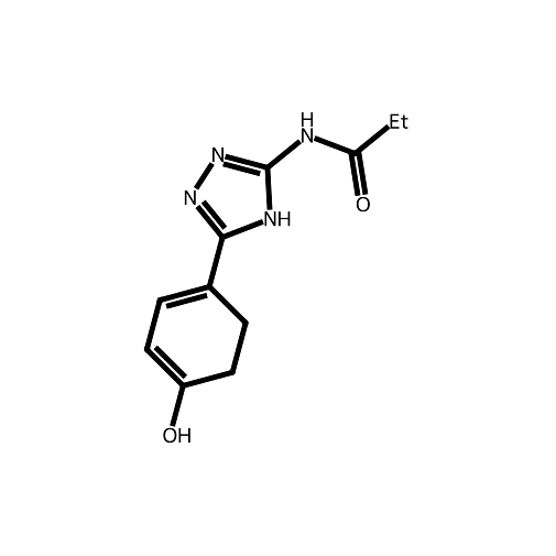 CCC(=O)Nc1nnc(C2=CC=C(O)CC2)[nH]1